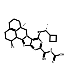 C[C@@H](Nc1nc(C(=N)NC(=O)O)nc2nc3n(c12)C[C@@H]1CCCC2=C1C3C(O)CC2)C1CCC1